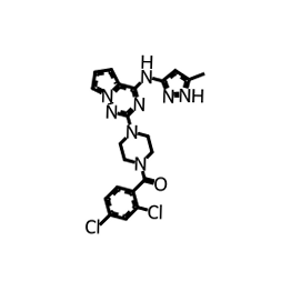 Cc1cc(Nc2nc(N3CCN(C(=O)c4ccc(Cl)cc4Cl)CC3)nn3cccc23)n[nH]1